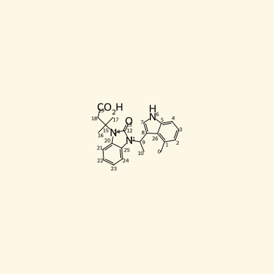 Cc1cccc2[nH]cc(C(C)n3c(=O)n(C(C)(C)CC(=O)O)c4ccccc43)c12